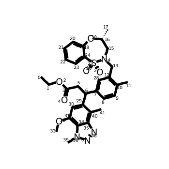 CCOC(=O)CC(c1ccc(C)c(CN2C[C@@H](C)Oc3ccccc3S2(=O)=O)c1)c1cc(OC)c2c(nnn2C)c1C